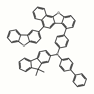 CC1(C)c2ccccc2-c2ccc(N(c3ccc(-c4ccccc4)cc3)c3ccc(-c4cccc5oc6c7ccccc7c(-c7ccc8oc9ccccc9c8c7)cc6c45)cc3)cc21